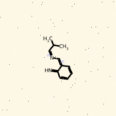 CC(C)/C=N\C=C1\C=CC=CC1=N